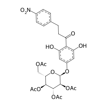 CC(=O)OC[C@@H]1O[C@@H](Oc2cc(O)c(C(=O)CCc3ccc([N+](=O)[O-])cc3)c(O)c2)[C@@H](OC(C)=O)[C@H](OC(C)=O)[C@H]1OC(C)=O